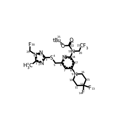 Cc1nc(SCc2cc(N3CCC(F)(F)CC3)cc(N(CC(F)(F)F)C(=O)OC(C)(C)C)n2)nn1CF